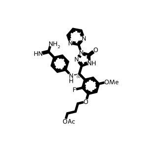 COc1cc(OCCCOC(C)=O)c(F)c([C@H](Nc2ccc(C(=N)N)cc2)c2nn(-c3ncccn3)c(=O)[nH]2)c1